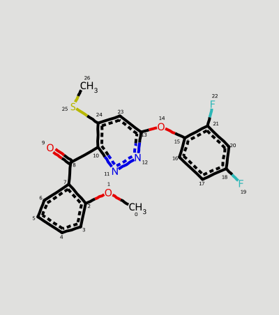 COc1ccccc1C(=O)c1nnc(Oc2ccc(F)cc2F)cc1SC